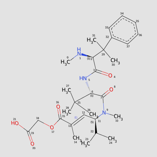 CN[C@H](C(=O)N[C@H](C(=O)N(C)[C@H](/C=C(\C)C(=O)OCC(=O)O)C(C)C)C(C)(C)C)C(C)(C)c1ccccc1